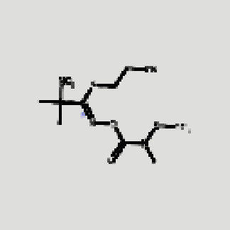 CN(SC(Cl)(Cl)Cl)C(=O)O/N=C(\SCCC#N)C(C)(C)[N+](=O)[O-]